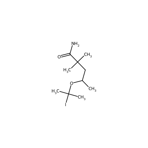 CC(CC(C)(C)C(N)=O)OC(C)(C)I